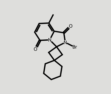 Cc1ccc(=O)n2c1C(=O)N(Br)C21CC2(CCCCC2)C1